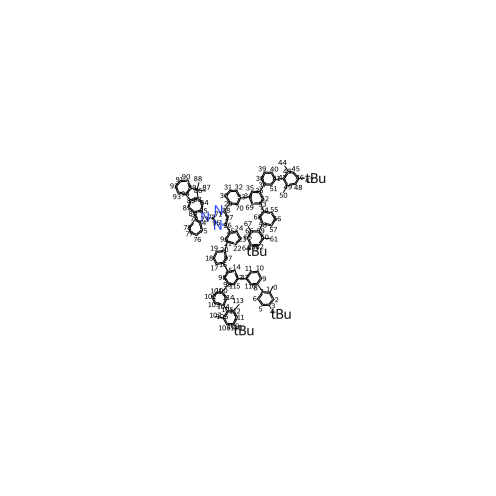 Cc1cc(C(C)(C)C)ccc1-c1cccc(-c2cc(-c3cccc(-c4cccc(-c5cc(-c6cccc(-c7cc(-c8cccc(-c9c(C)cc(C(C)(C)C)cc9C)c8)cc(-c8cccc(-c9c(C)cc(C(C)(C)C)cc9C)c8)c7)c6)nc(-n6c7ccccc7c7cc8c(cc76)C(C)(C)c6ccccc6-8)n5)c4)c3)cc(-c3cccc(-c4c(C)cc(C(C)(C)C)cc4C)c3)c2)c1